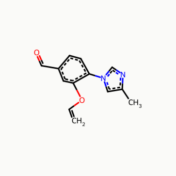 C=COc1cc(C=O)ccc1-n1cnc(C)c1